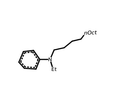 CCCCCCCCCCCCN(CC)c1ccccc1